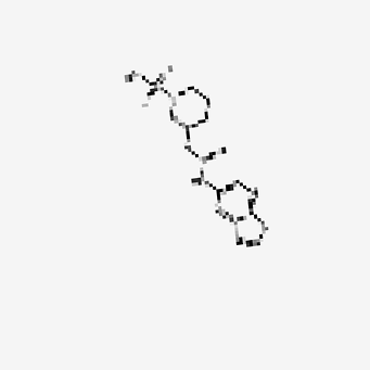 CCCS(=O)(=O)N1CCCC(NC(=O)Nc2cnc3[nH]ccc3n2)C1